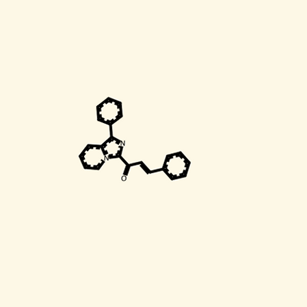 O=C(/C=C/c1ccccc1)c1nc(-c2ccccc2)c2ccccn12